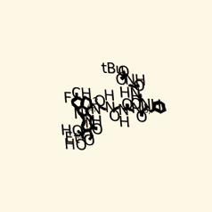 CC[C@]1(O)c2cc3n(c(=O)c2COC1O)Cc1c-3nc2cc(F)c(C)c3c2c1[C@@H](NC(=O)CNC(=O)CNC(=O)CNC(=O)[C@H](Cc1ccccc1)NC(=O)CNC(=O)CNC(=O)OC(C)(C)C)CC3